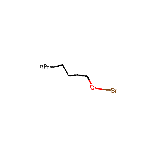 CCCCCCOBr